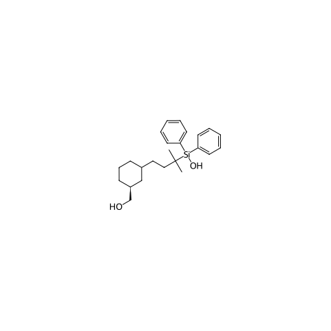 CC(C)(CCC1CCC[C@H](CO)C1)[Si](O)(c1ccccc1)c1ccccc1